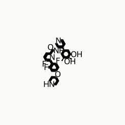 C[C@H]1C[C@@H](c2ccncc2NC(=O)c2ccc(F)c(-c3c(F)cc(OC4CCNCC4)cc3F)n2)C[C@@H](O)[C@]1(C)O